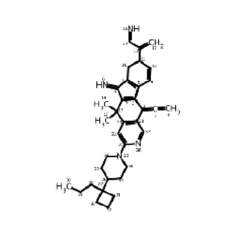 C=C=C1C2=C(C(=N)C3=C2C=CC(C(=C)C=N)C3)C(C)(C)c2cc(N3CCC(C4(CCC)CCC4)CC3)ncc21